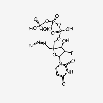 [N-]=[N+]=NC[C@]1(COP(=O)(O)OP(=O)(O)OP(=O)(O)O)OC(n2ccc(=O)[nH]c2=O)[C@H](F)[C@@H]1O